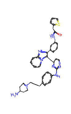 NC1CCN(CCc2ccc(Nc3nccc(-c4c(-c5cccc(NC(=O)c6cccs6)c5)nc5ccccn45)n3)cc2)CC1